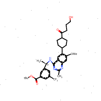 COc1cc2nc(C)nc(N[C@H](C)c3cc(C(=O)OC(C)(C)C)cc(C(F)(F)F)c3)c2cc1C1CCC(C(=O)CCCO)CC1